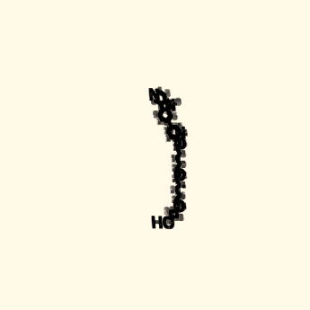 Cn1c2ccncc2c2ccc(-c3ccc(OCCCCCOCCCCCO[C@H]4C[C@@H](O)C4)nc3)cc21